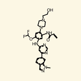 C=CC(=O)Nc1cc(Nc2cc(-c3ccc4cnn(C)c4c3)ncn2)c(OC(F)F)cc1N1CCN(CCO)CC1